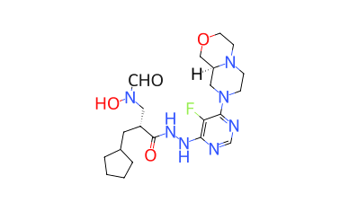 O=CN(O)C[C@@H](CC1CCCC1)C(=O)NNc1ncnc(N2CCN3CCOC[C@@H]3C2)c1F